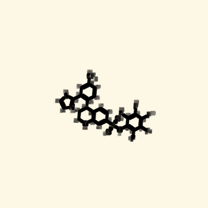 O=S(=O)(Oc1c(F)c(F)c(F)c(F)c1F)c1ccc2c(c1)OCC[C@H]2c1ccc(C(F)(F)F)cc1-c1nccs1